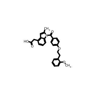 COc1ccccc1CCOc1ccc(C(=O)n2c(C)cc3c(CC(=O)O)cccc32)cc1